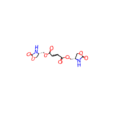 O=C(/C=C/C(=O)OC[C@@H]1COC(=O)N1)OC[C@@H]1COC(=O)N1